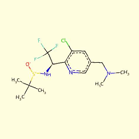 CN(C)Cc1cnc([C@@H](N[S+]([O-])C(C)(C)C)C(F)(F)F)c(Cl)c1